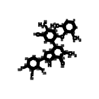 Cc1cccc(C)c1Oc1cn(C)c(=O)cc1-c1cn(C)c(=O)c2[nH]c(-c3ccc(F)c(F)c3F)cc12